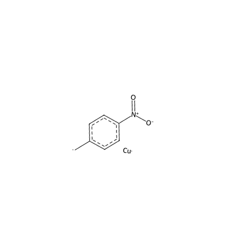 [CH2]c1ccc([N+](=O)[O-])cc1.[Cu]